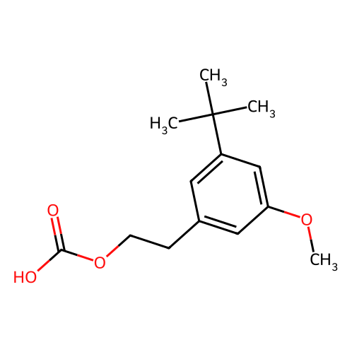 COc1cc(CCOC(=O)O)cc(C(C)(C)C)c1